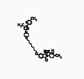 C=C1CCC(N2C(=C)c3cc(OCCCCCCCCN4CCN(c5cc(C)n(-c6ccc(C)cn6)n5)CC4)ccc3C2=O)C(=C)N1